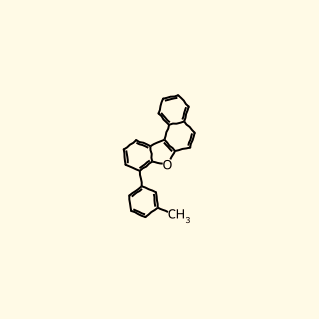 Cc1cccc(-c2cccc3c2oc2ccc4ccccc4c23)c1